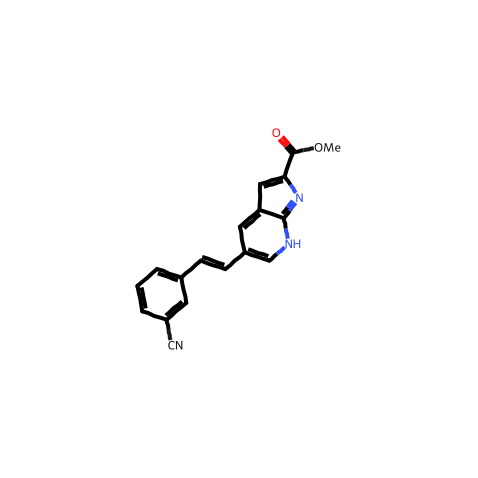 COC(=O)c1cc2cc(C=Cc3cccc(C#N)c3)c[nH]c-2n1